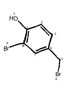 Oc1ccc(CBr)cc1Br